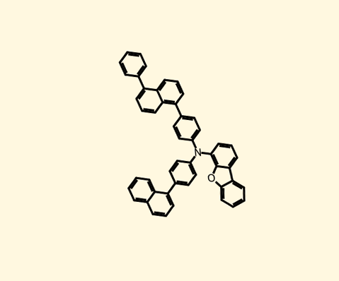 c1ccc(-c2cccc3c(-c4ccc(N(c5ccc(-c6cccc7ccccc67)cc5)c5cccc6c5oc5ccccc56)cc4)cccc23)cc1